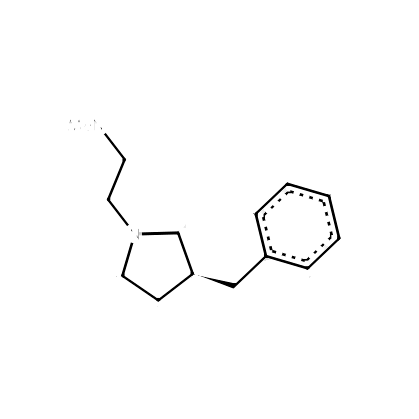 CNCCN1CC[C@H](Cc2ccccc2)C1